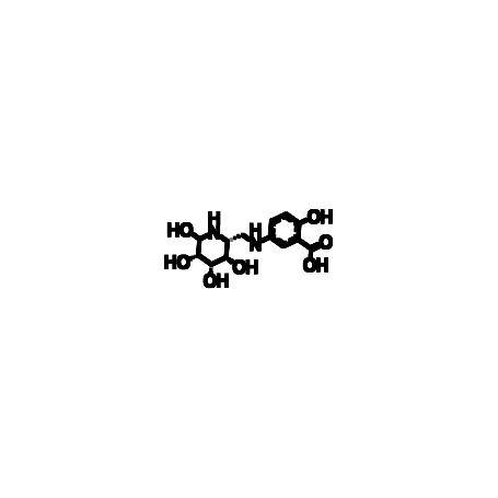 O=C(O)c1cc(NC[C@H]2NC(O)[C@@H](O)[C@@H](O)[C@@H]2O)ccc1O